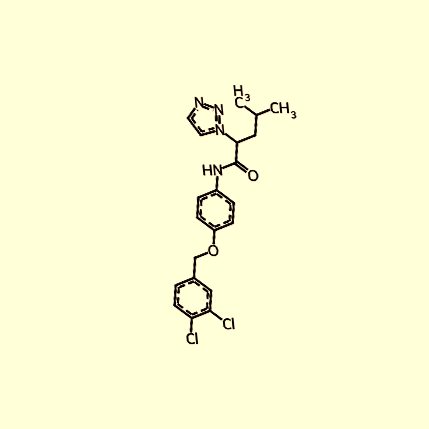 CC(C)CC(C(=O)Nc1ccc(OCc2ccc(Cl)c(Cl)c2)cc1)n1ccnn1